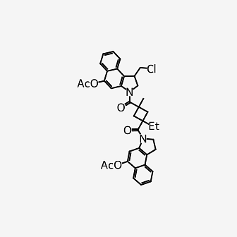 CCC1(C(=O)N2CCc3c2cc(OC(C)=O)c2ccccc32)CC(C)(C(=O)N2CC(CCl)c3c2cc(OC(C)=O)c2ccccc32)C1